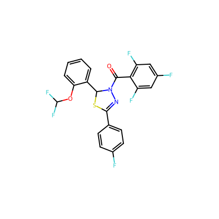 O=C(c1c(F)cc(F)cc1F)N1N=C(c2ccc(F)cc2)SC1c1ccccc1OC(F)F